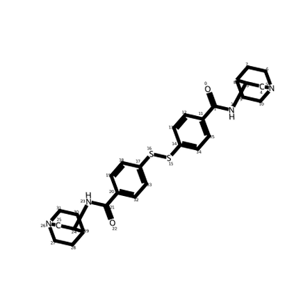 O=C(NC1CN2CCC1CC2)c1ccc(SSc2ccc(C(=O)NC3CN4CCC3CC4)cc2)cc1